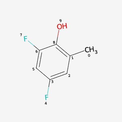 Cc1cc(F)cc(F)c1O